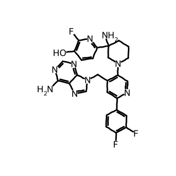 Nc1ncnc2c1ncn2Cc1cc(-c2ccc(F)c(F)c2)ncc1N1CCCC(N)(c2ccc(O)c(F)n2)C1